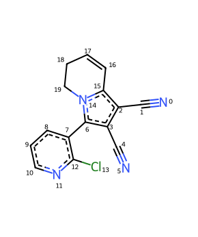 N#Cc1c(C#N)c(-c2cccnc2Cl)n2c1C=CCC2